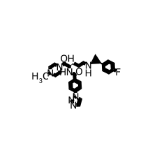 CN1CCN(C(O)[C@H](CCCN[C@@H]2C[C@H]2c2ccc(F)cc2)NC(=O)c2ccc(-n3ccnn3)cc2)CC1